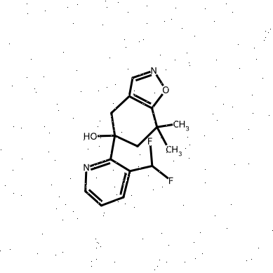 CC1(C)CC(O)(c2ncccc2C(F)F)Cc2cnoc21